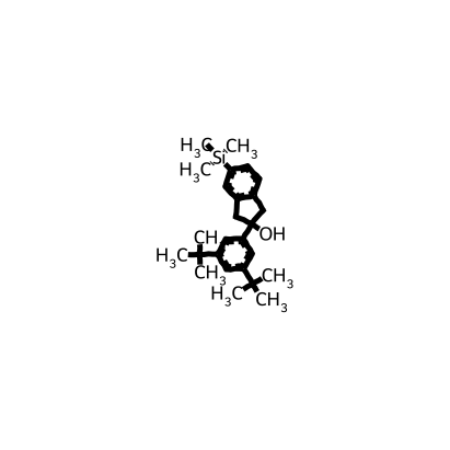 CC(C)(C)c1cc(C(C)(C)C)cc(C2(O)Cc3ccc([Si](C)(C)C)cc3C2)c1